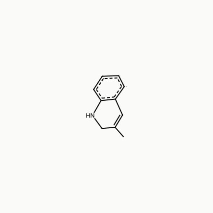 CC1=Cc2[c]cccc2NC1